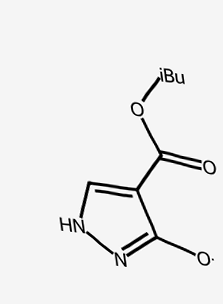 CCC(C)OC(=O)c1c[nH]nc1[O]